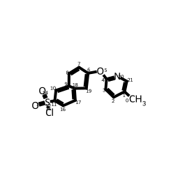 Cc1ccc(Oc2ccc3cc(S(=O)(=O)Cl)ccc3c2)nc1